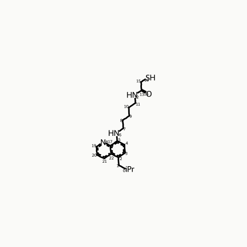 CC(C)Cc1ccc(NCCCCCNC(=O)CS)c2ncccc12